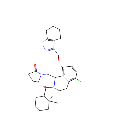 C[C@]1(C(=O)O)CCCCC1C(=O)N1CCc2c(Cl)ccc(OCc3noc4c3CCCC4)c2C1CN1CCCC1=O